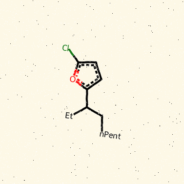 CCCCCCC(CC)c1ccc(Cl)o1